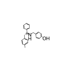 Cc1ccc(C[C@@H](NCc2ccc(O)cc2)c2ccccc2)cc1